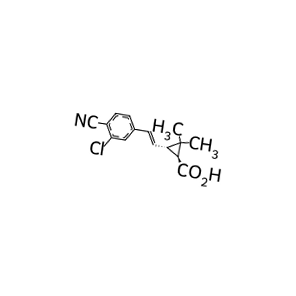 CC1(C)[C@@H](C=Cc2ccc(C#N)c(Cl)c2)[C@@H]1C(=O)O